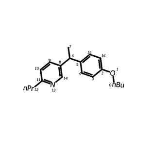 CCCCOc1ccc(C(C)c2ccc(CCC)nc2)cc1